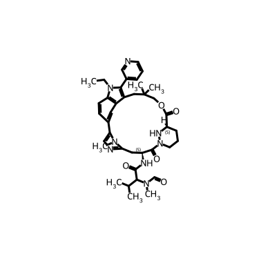 CCn1c(-c2cccnc2)c2c3cc(ccc31)-c1cnc(n1C)C[C@H](NC(=O)C(C(C)C)N(C)C=O)C(=O)N1CCC[C@H](N1)C(=O)OCC(C)(C)C2